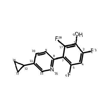 Oc1c(F)cc(F)c(-c2ccc(C3CC3)cn2)c1F